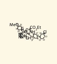 CCOC(=O)[C@H](C)N[C@@H](Cc1ccc(-c2cccc(Cl)c2)cc1)C(=O)N(C)c1nnnn1Cc1ccc(OC)cc1